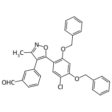 Cc1noc(-c2cc(Cl)c(OCc3ccccc3)cc2OCc2ccccc2)c1-c1cccc(C=O)c1